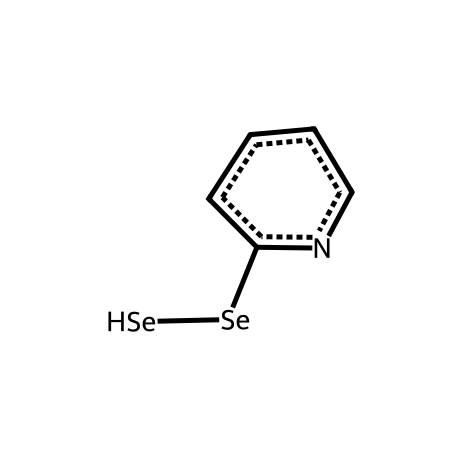 [SeH][Se]c1ccccn1